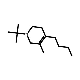 CCCCC1=C(C)CN(C(C)(C)C)CC1